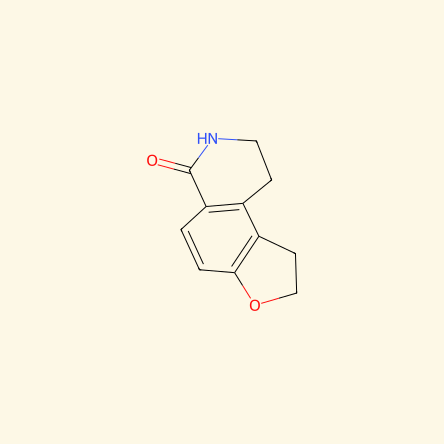 O=C1NCCc2c1ccc1c2CCO1